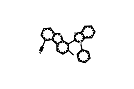 Cc1ccc2c(oc3cccc(C#N)c32)c1-c1nc2ccccc2n1-c1ccccc1